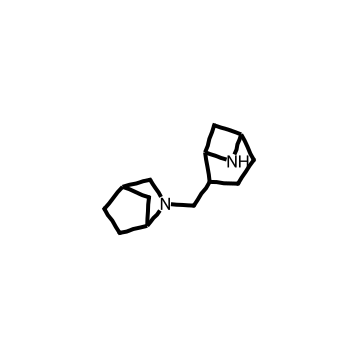 C1CC2CC1CN2CC1CCC2CC1N2